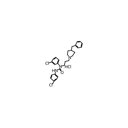 Cl.O=C(Nc1ccc(Cl)cc1)N(CCCN1CCC(Cc2ccccc2)CC1)c1cccc(Cl)c1